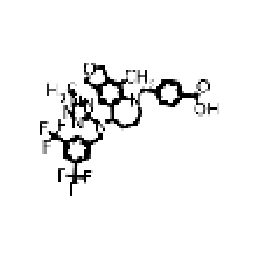 Cc1c2c(cc3c1N(Cc1ccc(C(=O)O)cc1)CCCC3N(Cc1cc(C(F)(F)F)cc(C(F)(F)F)c1)c1nnn(C)n1)COC2